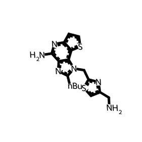 CCCCc1nc2c(N)nc3ccsc3c2n1Cc1nc(CN)cs1